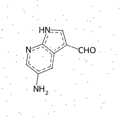 Nc1cnc2[nH]cc(C=O)c2c1